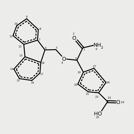 NC(=O)C(OCC1c2ccccc2-c2ccccc21)c1ccc(C(=O)O)cc1